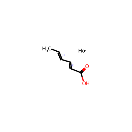 C/C=C/C=C/C(=O)O.[Ho]